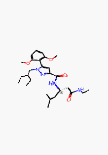 CCNC(=O)C[C@H](CC(C)C)NC(=O)c1cc(-c2c(OC)cccc2OC)n(CC(CC)CC)n1